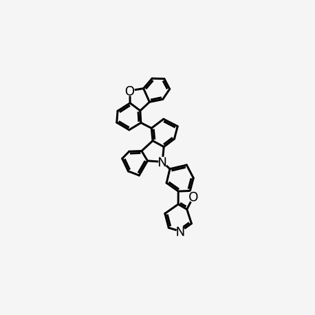 c1ccc2c(c1)oc1cccc(-c3cccc4c3c3ccccc3n4-c3ccc4oc5cnccc5c4c3)c12